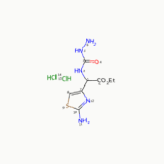 CCOC(=O)C(NC(=O)NN)c1csc(N)n1.Cl.Cl